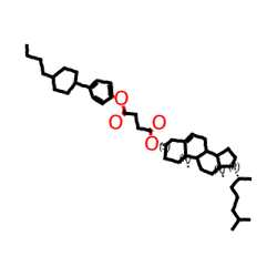 CCCCC1CCC(c2ccc(OC(=O)CCC(=O)O[C@H]3CC[C@@]4(C)C(=CCC5C4CC[C@@]4(C)C5CC[C@@H]4C(C)CCCC(C)C)C3)cc2)CC1